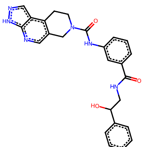 O=C(NCC(O)c1ccccc1)c1cccc(NC(=O)N2CCc3c(cnc4[nH]ncc34)C2)c1